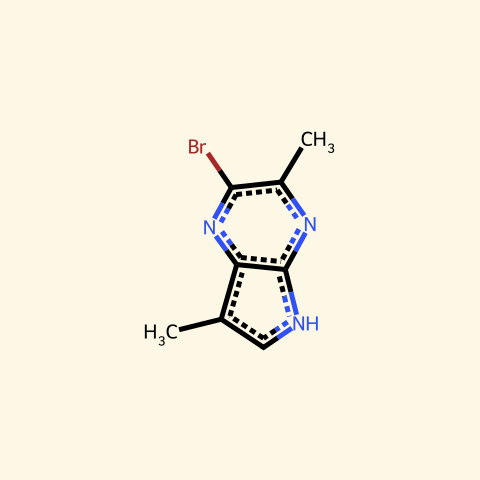 Cc1nc2[nH]cc(C)c2nc1Br